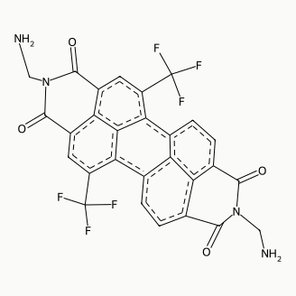 NCN1C(=O)c2ccc3c4c(C(F)(F)F)cc5c6c(cc(C(F)(F)F)c(c7ccc(c2c37)C1=O)c64)C(=O)N(CN)C5=O